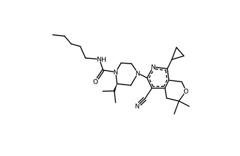 CCCCCNC(=O)N1CCN(c2nc(C3CC3)c3c(c2C#N)CC(C)(C)OC3)C[C@H]1C(C)C